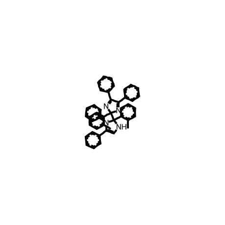 Cc1ccccc1C1(C2(c3ccccc3C)NC=C(c3ccccc3)N2c2ccccc2)N=C(c2ccccc2)C(c2ccccc2)=N1